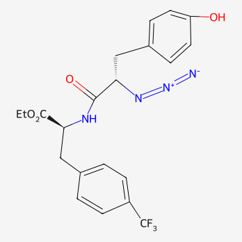 CCOC(=O)[C@H](Cc1ccc(C(F)(F)F)cc1)NC(=O)[C@H](Cc1ccc(O)cc1)N=[N+]=[N-]